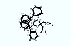 CCC1(CC)O[C@@H](C(O)(c2ccccc2)c2ccccc2)[C@H](C(O)(c2ccccc2)c2ccccc2)O1